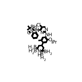 BC1(B)CC(c2cc(OC(C)C)c(Nc3ncc(Cl)c(Nc4ccccc4S(=O)(=O)C(B)(C)C)n3)cc2C)CC(B)(B)N1